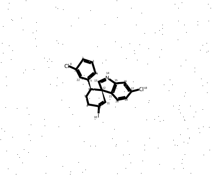 Clc1cccc([C@@H]2CCC(I)=C[C@]23C=Nc2cc(Cl)ccc23)c1